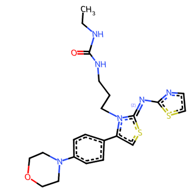 CCNC(=O)NCCCn1c(-c2ccc(N3CCOCC3)cc2)cs/c1=N\c1nccs1